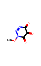 CCON1N=NC(=O)C(=O)C1=O